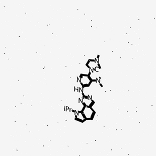 CC(C)n1ccc2ccc3cnc(Nc4cc(N(C)C)c(N5CCN(C)CC5)cn4)nc3c21